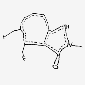 Cn1[nH]c2ccc(I)c(F)c2c1=O